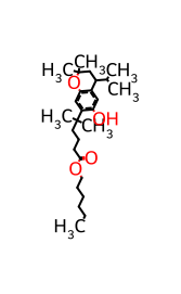 CCCCCCOC(=O)CCCC(C)(C)c1cc2c(cc1O)C(C(C)C)CC(C)(C)O2